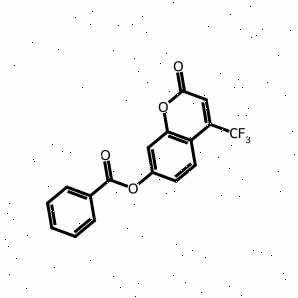 O=C(Oc1ccc2c(C(F)(F)F)cc(=O)oc2c1)c1ccccc1